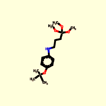 CO[Si](CCCNc1ccc(O[Si](C)(C)C)cc1)(OC)OC